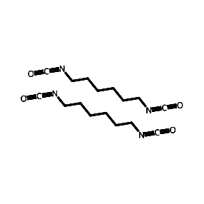 O=C=NCCCCCCN=C=O.O=C=NCCCCCCN=C=O